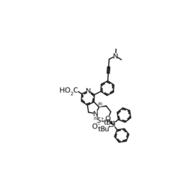 CN(C)CC#Cc1cccc(-c2nc(C(=O)O)cc3c2[C@@H](CCO[Si](c2ccccc2)(c2ccccc2)C(C)(C)C)N([S@+]([O-])C(C)(C)C)C3)c1